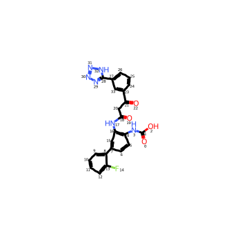 O=C(O)Nc1ccc(-c2ccccc2F)cc1NC(=O)CC(=O)c1cccc(-c2nnn[nH]2)c1